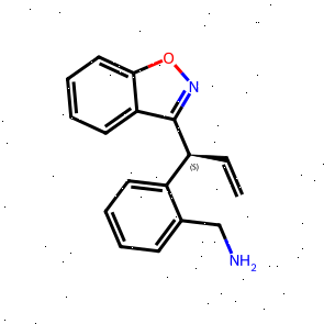 C=C[C@@H](c1ccccc1CN)c1noc2ccccc12